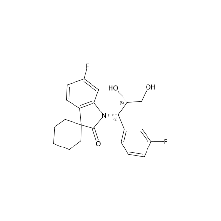 O=C1N([C@@H](c2cccc(F)c2)[C@H](O)CO)c2cc(F)ccc2C12CCCCC2